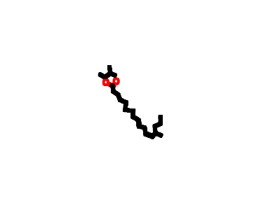 CCCC(C)/C=C\C/C=C/CCCCCCCC(=O)OC(C)C(C)C